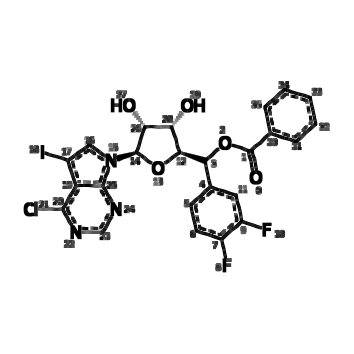 O=C(OC(c1ccc(F)c(F)c1)[C@H]1O[C@@H](n2cc(I)c3c(Cl)ncnc32)[C@H](O)[C@@H]1O)c1ccccc1